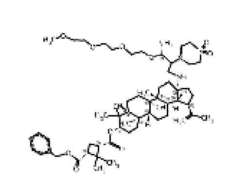 C=C(C)[C@@H]1CC[C@]2(NCC([C@@H](C)OCCOCCOCCOC)N3CCS(=O)(=O)CC3)CC[C@]3(C)[C@H](CC[C@@H]4[C@@]5(C)CC[C@H](OC(=O)[C@H]6C[C@@H](C(=O)OCc7ccccc7)C6(C)C)C(C)(C)[C@@H]5CC[C@]43C)[C@@H]12